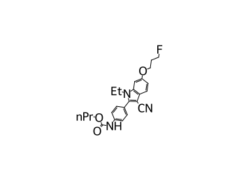 CCCOC(=O)Nc1ccc(-c2c(C#N)c3ccc(OCCCF)cc3n2CC)cc1